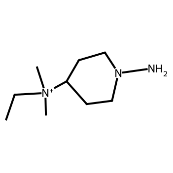 CC[N+](C)(C)C1CCN(N)CC1